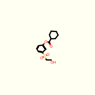 O=C(Oc1cccc(S(=O)(=O)CCO)c1)C1CCCCC1